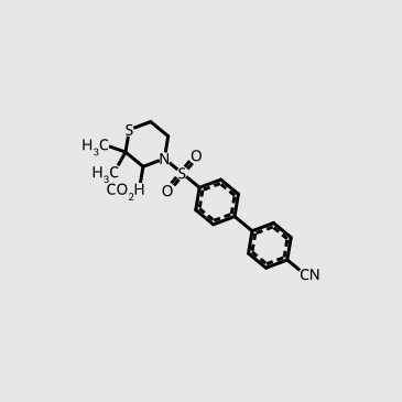 CC1(C)SCCN(S(=O)(=O)c2ccc(-c3ccc(C#N)cc3)cc2)C1C(=O)O